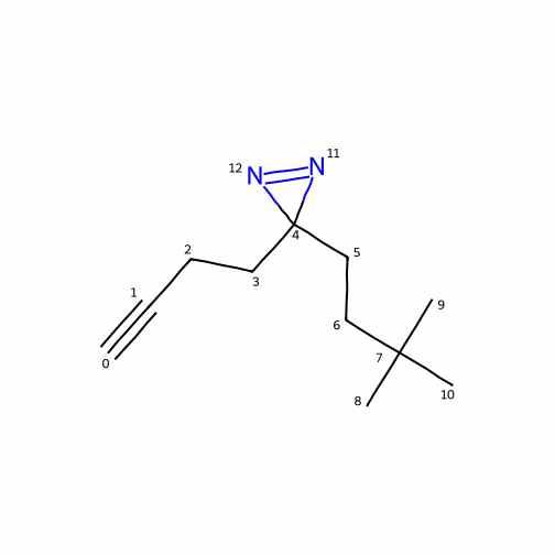 C#CCCC1(CCC(C)(C)C)N=N1